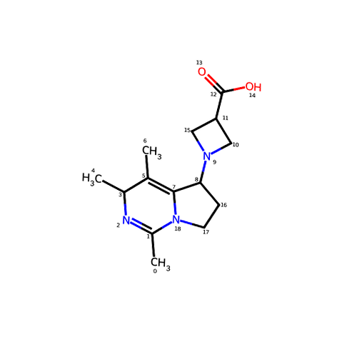 CC1=NC(C)C(C)=C2C(N3CC(C(=O)O)C3)CCN12